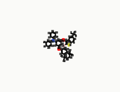 CC(C)(C)c1ccc2sc3c(c2c1)Oc1cc(N(c2ccccc2)c2ccccc2)cc2c1B3c1cc3c(cc1O2)C(C)(C)CCC3(C)C